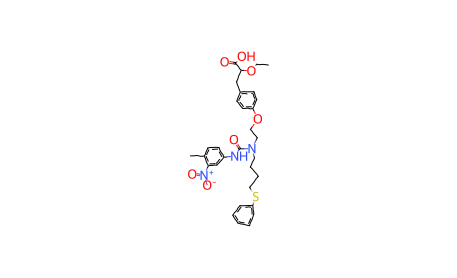 CCOC(Cc1ccc(OCCN(CCCCSc2ccccc2)C(=O)Nc2ccc(C)c([N+](=O)[O-])c2)cc1)C(=O)O